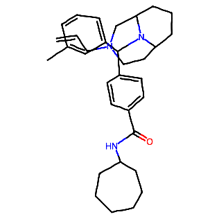 C=CCN1CCC2CCCC(C1)N2C(c1ccc(C(=O)NC2CCCCCC2)cc1)c1cccc(C)c1